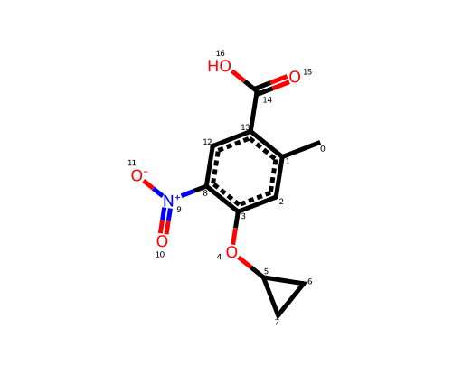 Cc1cc(OC2CC2)c([N+](=O)[O-])cc1C(=O)O